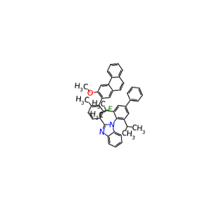 COc1cc2c(ccc3ccccc32)cc1-c1c(C)ccc(-c2nc3ccccc3n2-c2c(C(C)C)cc(-c3ccccc3)cc2C(C)C)c1F